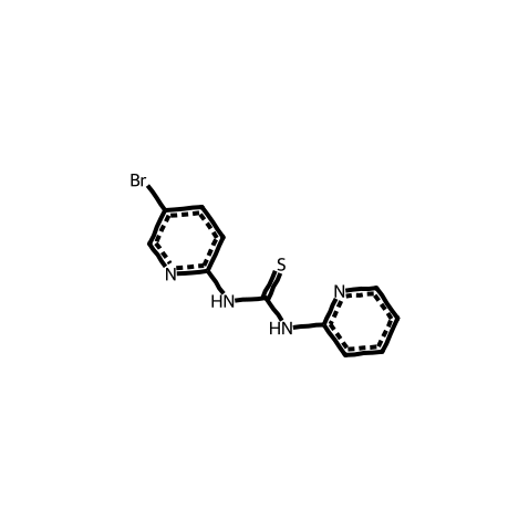 S=C(Nc1ccccn1)Nc1ccc(Br)cn1